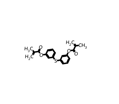 C=C(C)C(=O)Oc1cccc(Sc2cccc(OC(=O)C(=C)C)c2)c1